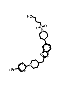 CCCc1cnc(N2CCC(Cc3nc4ccc(C5CCN(S(=O)(=O)CCCO)CC5)cc4o3)CC2)nc1